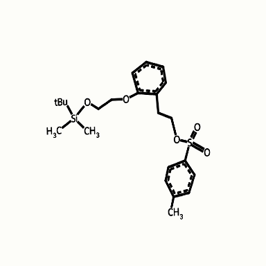 Cc1ccc(S(=O)(=O)OCCc2ccccc2OCCO[Si](C)(C)C(C)(C)C)cc1